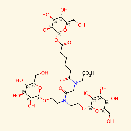 O=C(O)CN(CC(=O)N(CCO[C@H]1O[C@H](CO)[C@@H](O)[C@H](O)[C@@H]1O)CCO[C@H]1O[C@H](CO)[C@@H](O)[C@H](O)[C@@H]1O)C(=O)CCCCC(=O)O[C@H]1O[C@H](CO)[C@@H](O)[C@H](O)[C@@H]1O